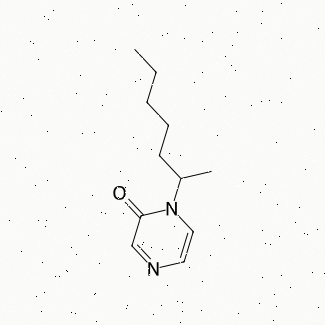 CCCCCC(C)n1ccncc1=O